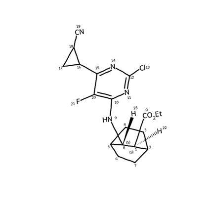 CCOC(=O)[C@H]1C2CCC(CC2)[C@@H]1Nc1nc(Cl)nc(C2CC2C#N)c1F